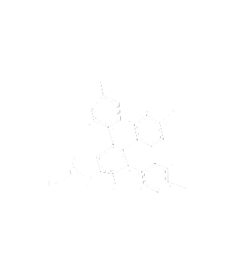 Cc1ccc(-c2cc(OB(O)O)c(O)c(-c3ccc(C)cc3)c2-c2ccc(C)cc2)cc1